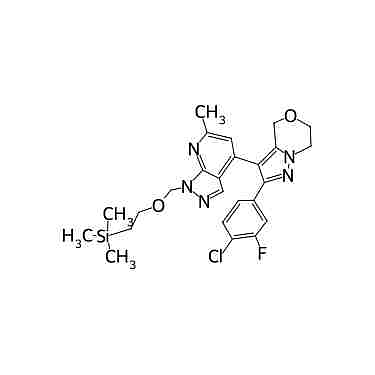 Cc1cc(-c2c(-c3ccc(Cl)c(F)c3)nn3c2COCC3)c2cnn(COCC[Si](C)(C)C)c2n1